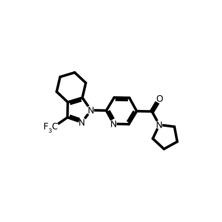 O=C(c1ccc(-n2nc(C(F)(F)F)c3c2CCCC3)nc1)N1CCCC1